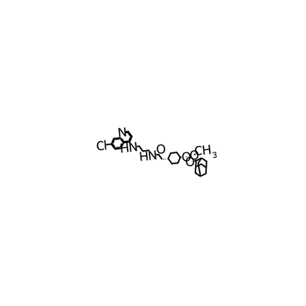 COC1(OO[C@H]2CC[C@@H](CC(=O)NCCCNc3ccnc4cc(Cl)ccc34)CC2)C2CC3CC(C2)CC1C3